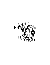 CC(C)C[C@H](N)C(=O)N[C@@H](CCCNC(=N)N)C(=O)N[C@H](C(=O)N[C@@H](Cc1ccccc1)C(=O)O)[C@@H](C)O